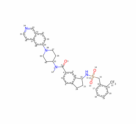 CN(C(=O)c1ccc2c(c1)C(NS(=O)(=O)Cc1ccccc1C(F)(F)F)CC2)C1CCN(c2ccc3cnccc3c2)CC1